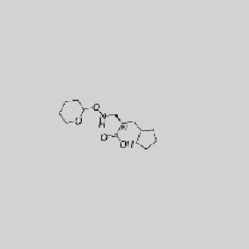 O=C(O)[C@@H](CNOC1CCCCO1)CC1CCCC1